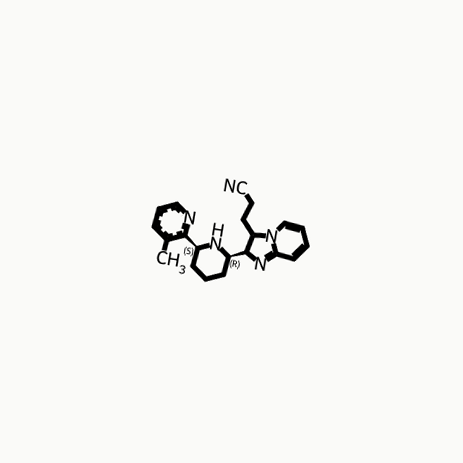 Cc1cccnc1[C@@H]1CCC[C@H](C2N=C3C=CC=CN3C2CCC#N)N1